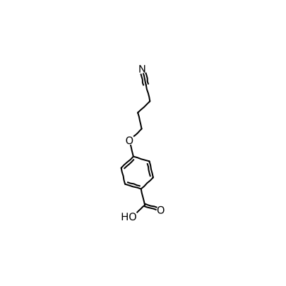 N#CCCCOc1ccc(C(=O)O)cc1